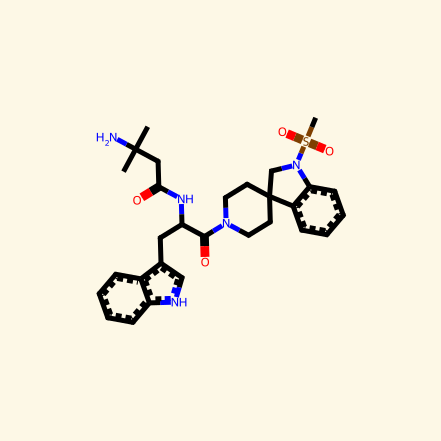 CC(C)(N)CC(=O)NC(Cc1c[nH]c2ccccc12)C(=O)N1CCC2(CC1)CN(S(C)(=O)=O)c1ccccc12